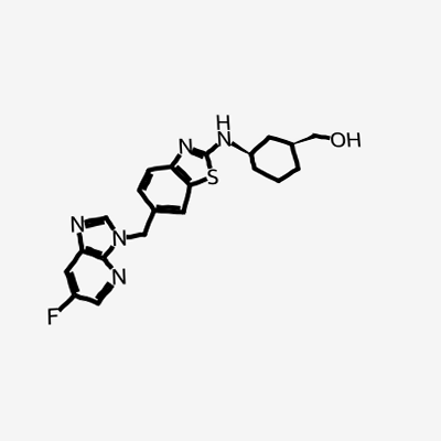 OC[C@H]1CCC[C@@H](Nc2nc3ccc(Cn4cnc5cc(F)cnc54)cc3s2)C1